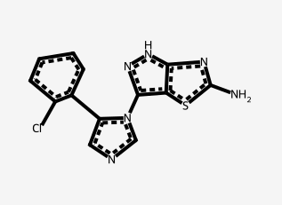 Nc1nc2[nH]nc(-n3cncc3-c3ccccc3Cl)c2s1